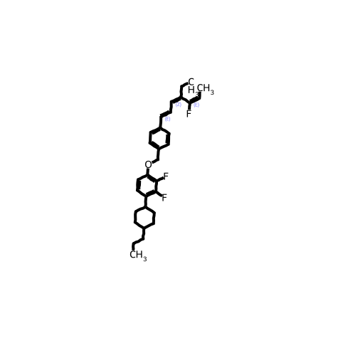 C\C=C(F)/C(=C\C=C\c1ccc(COc2ccc(C3CCC(CCC)CC3)c(F)c2F)cc1)CC